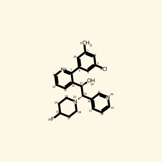 Cc1cc(Cl)cc(-c2ncccc2[C@@H](O)[C@H](c2cccnc2)N2CCC(F)CC2)c1